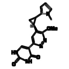 COc1nnc(-c2c[nH]c(=O)[nH]c2=O)cc1[C@H]1CC1c1cccn1C